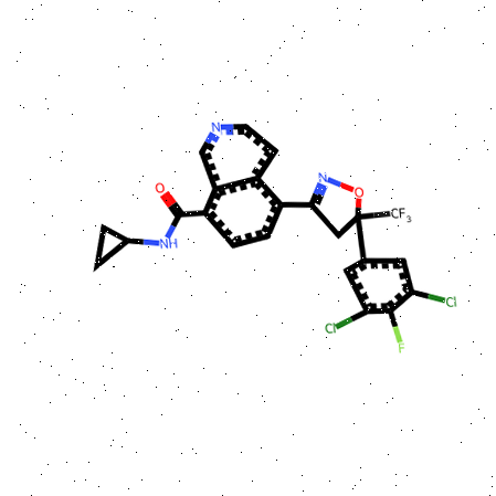 O=C(NC1CC1)c1ccc(C2=NOC(c3cc(Cl)c(F)c(Cl)c3)(C(F)(F)F)C2)c2ccncc12